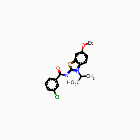 CCOc1ccc2c(c1)s/c(=N\C(=O)c1cccc(Cl)c1)n2C(C)C(=O)O